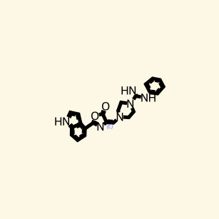 N=C(Nc1ccccc1)N1CCN(/C=C2/N=C(c3cccc4[nH]ccc34)OC2=O)CC1